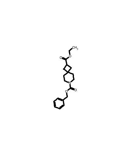 CCOC(=O)C1CC2(CCN(C(=O)OCc3ccccc3)CC2)C1